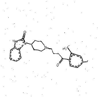 Cc1cc(F)ccc1C(=O)CCCN1CCC(n2c(=O)[nH]c3ccccc32)CC1